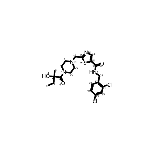 CCC(C)(O)C(=O)N1CCN(Cc2ncc(C(=O)NCc3ccc(Cl)cc3Cl)s2)CC1